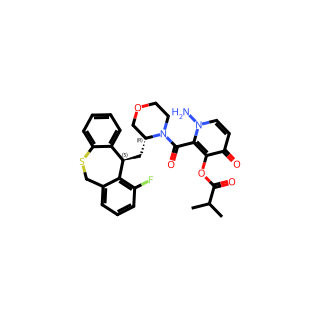 CC(C)C(=O)Oc1c(C(=O)N2CCOC[C@H]2C[C@@H]2c3ccccc3SCc3cccc(F)c32)n(N)ccc1=O